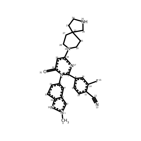 Cn1cc2cc(-n3c(-c4ccc(C#N)c(F)c4)nc(N4CCC5(CCNC5)CC4)cc3=O)ccc2n1